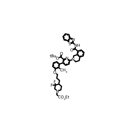 CCOC(=O)CN1CCC(CCCOc2cccc(-c3ccc(N4CCc5cccc(C(=O)Nc6nc7ccccc7s6)c5C4)nc3C(=O)OC(C)(C)C)c2C)C(F)(F)C1